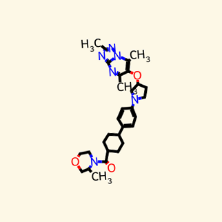 Cc1nc2nc(C)c(OC3CCN(c4ccc(C5CCC(C(=O)N6CCOCC6C)CC5)cc4)C3)c(C)n2n1